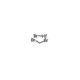 BrCBr.[Br][Hf]